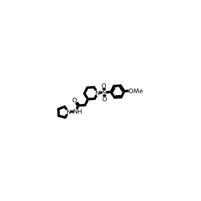 COc1ccc(S(=O)(=O)N2CCCC(CC(=O)NN3CCCC3)C2)cc1